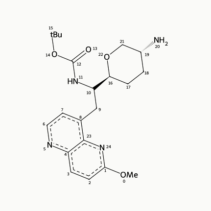 COc1ccc2nccc(CC(NC(=O)OC(C)(C)C)[C@@H]3CC[C@@H](N)CO3)c2n1